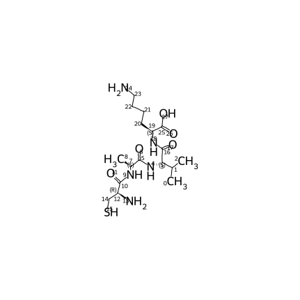 CC(C)[C@H](NC(=O)[C@H](C)NC(=O)[C@@H](N)CS)C(=O)N[C@@H](CCCCN)C(=O)O